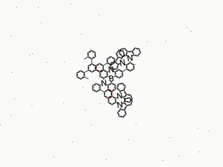 Cc1ccccc1-c1cc(-c2cc3c4c(c2)N(c2ccccc2-c2ccccc2)c2cc(-c5cccc(-n6c7ccccc7c7ccccc76)c5-n5c6ccccc6c6ccccc65)ccc2B4c2ccc(-c4cccc(-n5c6ccccc6c6ccccc65)c4-n4c5ccccc5c5ccccc54)cc2N3c2ccccc2-c2ccccc2)cc(-c2ccccc2C)c1